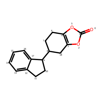 O=c1oc2c(o1)CCC(C1CCc3ccccc31)[C]2